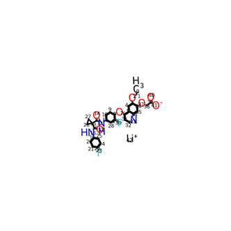 CCOc1cc2c(Oc3ccc(NC(=O)C4(C(=O)Nc5ccc(F)cc5)CC4)cc3F)ccnc2cc1OCC(=O)[O-].[Li+]